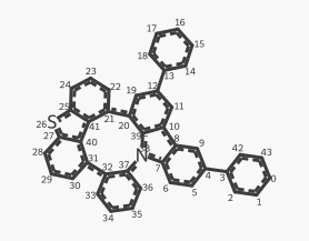 c1ccc(-c2ccc3c(c2)c2cc(-c4ccccc4)cc4c5cccc6sc7cccc(c8ccccc8n3c42)c7c65)cc1